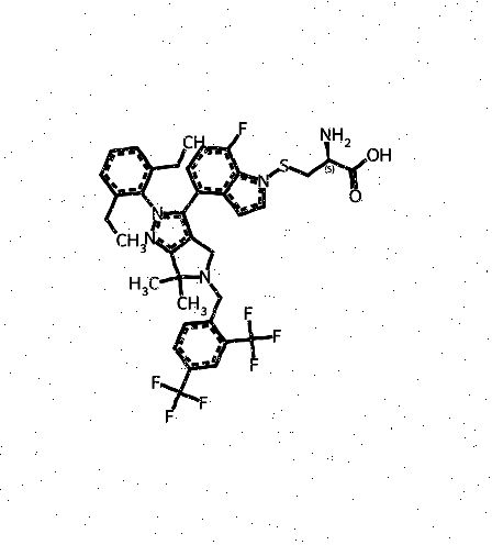 CCc1cccc(CC)c1-n1nc2c(c1-c1ccc(F)c3c1ccn3SC[C@@H](N)C(=O)O)CN(Cc1ccc(C(F)(F)F)cc1C(F)(F)F)C2(C)C